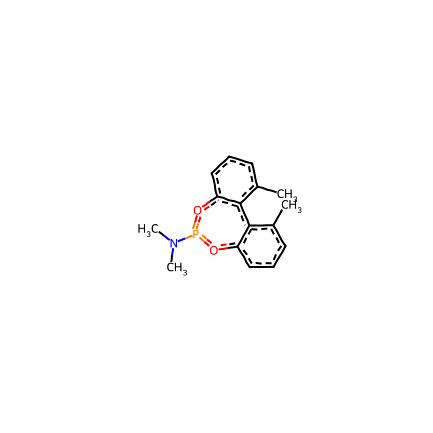 Cc1cccc2op(N(C)C)oc3cccc(C)c3c12